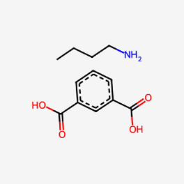 CCCCN.O=C(O)c1cccc(C(=O)O)c1